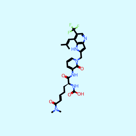 CC(C)=Cc1c(C(F)(F)F)cnc2cc(Cn3cccc(NC(=O)[C@H](CC/C=C/C(=O)N(C)C)NC(=O)O)c3=O)[nH]c12